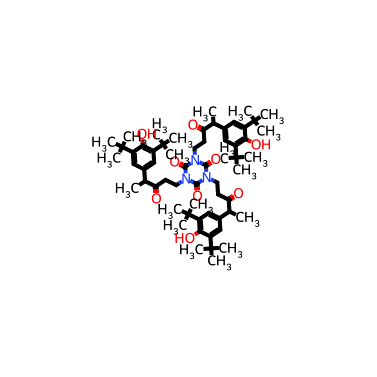 CC(C(=O)CCn1c(=O)n(CCC(=O)C(C)c2cc(C(C)(C)C)c(O)c(C(C)(C)C)c2)c(=O)n(CCC(=O)C(C)c2cc(C(C)(C)C)c(O)c(C(C)(C)C)c2)c1=O)c1cc(C(C)(C)C)c(O)c(C(C)(C)C)c1